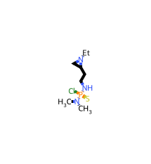 CCN1CC1CCNP(=S)(Cl)N(C)C